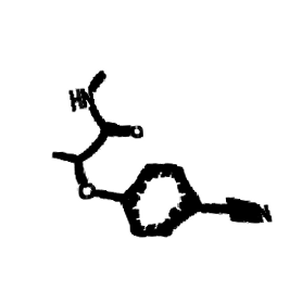 CNC(=O)C(C)Oc1ccc(C#N)cc1